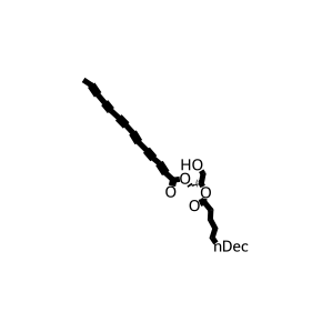 CC#CC#CC#CC#CC#CC#CC(=O)OC[C@H](CO)OC(=O)CCCCCCCCCCCCCC